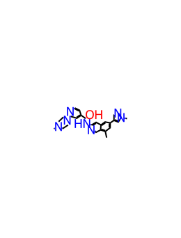 Cc1cc(-c2cnn(C)c2)cc2cc(NC(O)c3ccnc(N4CCN(C)CC4)c3)ncc12